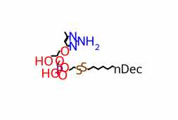 CCCCCCCCCCCCCCCCSSCCOP(=O)(O)COC(CO)COc1cc(C)nc(N)n1